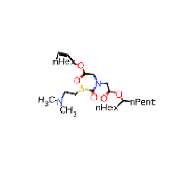 CCCCCC/C=C\COC(=O)CN(CC(=O)OC(CCCCC)CCCCCC)C(=O)SCCN(C)C